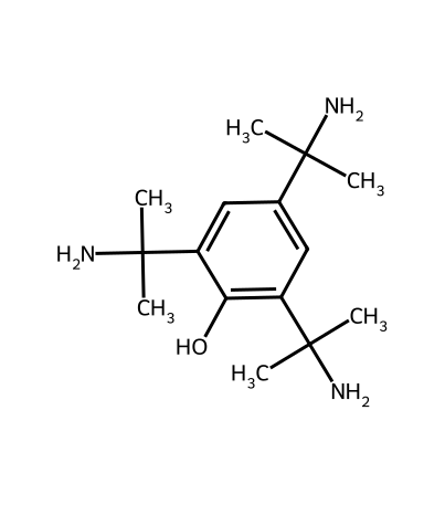 CC(C)(N)c1cc(C(C)(C)N)c(O)c(C(C)(C)N)c1